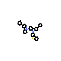 c1ccc(-c2ccc3c(c2)c2ccccc2n3-c2ccc3c4cc(-c5ccccc5)ccc4n(-c4ccc5sc6ccccc6c5c4)c3c2)cc1